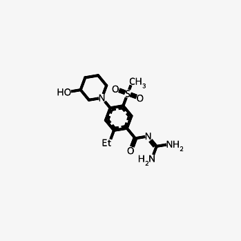 CCc1cc(N2CCCC(O)C2)c(S(C)(=O)=O)cc1C(=O)N=C(N)N